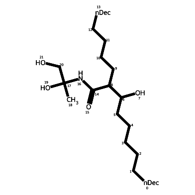 CCCCCCCCCCCCCCCC(O)C(CCCCCCCCCCCCCC)C(=O)NC(C)(O)CO